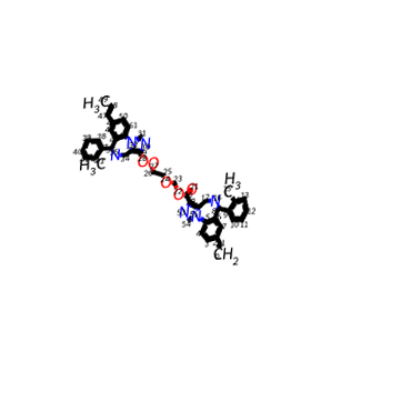 C=Cc1ccc2c(c1)C(c1ccccc1C)=NCc1c(C(=O)OCOCCOOc3ncn4c3CN=C(c3ccccc3C)c3cc(C=CC)ccc3-4)ncn1-2